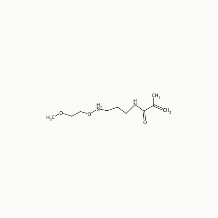 C=C(C)C(=O)NCCC[SiH2]OCCOC